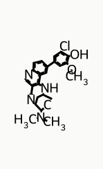 COc1cc(-c2ccc3ncc(C#N)c(N[C@H]4CC[C@H](N(C)C)CC4)c3c2)cc(Cl)c1O